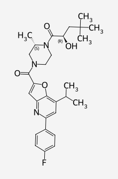 CC(C)c1cc(-c2ccc(F)cc2)nc2cc(C(=O)N3CCN(C(=O)[C@H](O)CC(C)(C)C)[C@@H](C)C3)oc12